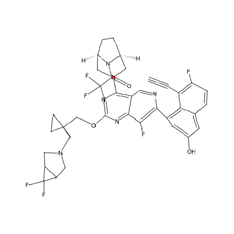 C#Cc1c(F)ccc2cc(O)cc(-c3ncc4c(N5C[C@H]6CC[C@@H](C5)N6C(=O)C(F)(F)F)nc(OCC5(CN6CC7C(C6)C7(F)F)CC5)nc4c3F)c12